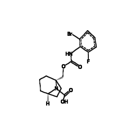 O=C(Nc1c(F)cccc1Br)OC[C@]12CCC[C@H](CC1)N2C(=O)O